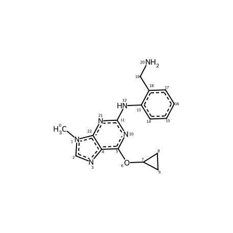 Cn1cnc2c(OC3CC3)nc(Nc3ccccc3CN)nc21